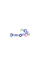 CCc1nc2ncc(Cl)cn2c1C(=O)NCc1ccc(N2CC3(C2)CN(c2cccnc2)C3)cc1